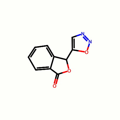 O=C1OC(c2cnno2)c2ccccc21